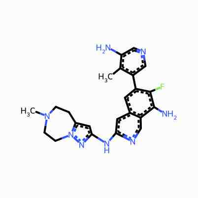 Cc1c(N)cncc1-c1cc2cc(Nc3cc4n(n3)CCN(C)CC4)ncc2c(N)c1F